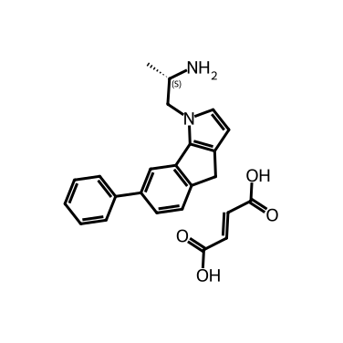 C[C@H](N)Cn1ccc2c1-c1cc(-c3ccccc3)ccc1C2.O=C(O)C=CC(=O)O